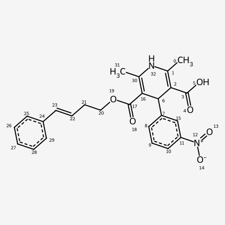 CC1=C(C(=O)O)C(c2cccc([N+](=O)[O-])c2)C(C(=O)OCCC=Cc2ccccc2)=C(C)N1